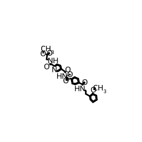 COC(=O)CNC(=O)c1ccc(C(=O)NS(=O)(=O)c2ccc(C(=O)NCCc3ccccc3OC)cc2)cn1